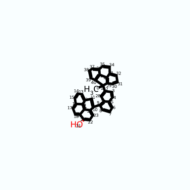 CC1(c2ccc3cccc(-c4cc5cccc6ccc7c(O)ccc4c7c65)c3c2)c2cccc3ccc4cccc1c4c23